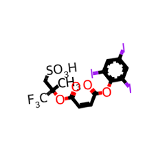 CC(CS(=O)(=O)O)(OC(=O)/C=C\C(=O)Oc1c(I)cc(I)cc1I)C(F)(F)F